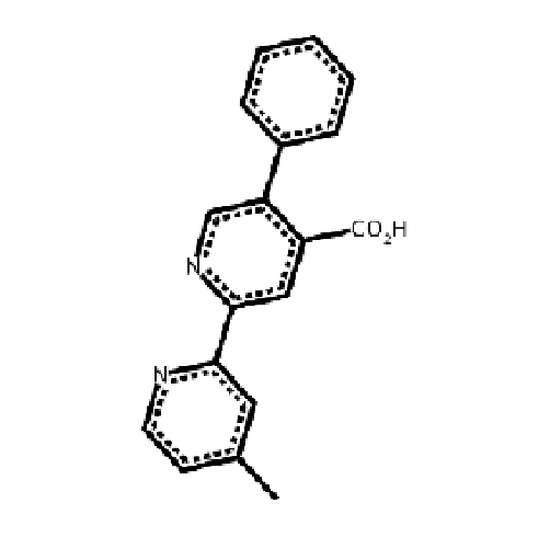 Cc1ccnc(-c2cc(C(=O)O)c(-c3ccccc3)cn2)c1